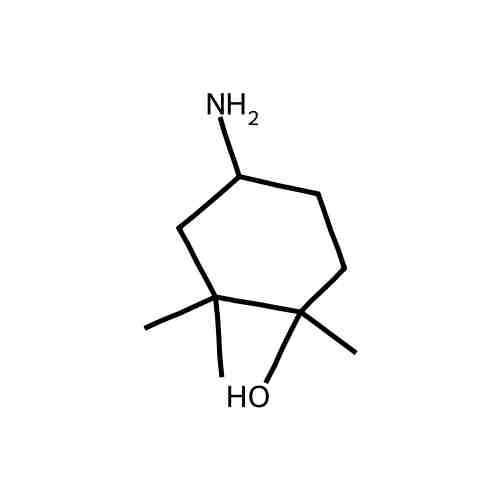 CC1(C)CC(N)CCC1(C)O